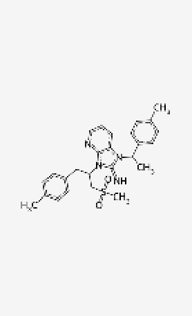 Cc1ccc(CC(CS(C)(=O)=O)n2c(=N)n(C(C)c3ccc(C)cc3)c3cccnc32)cc1